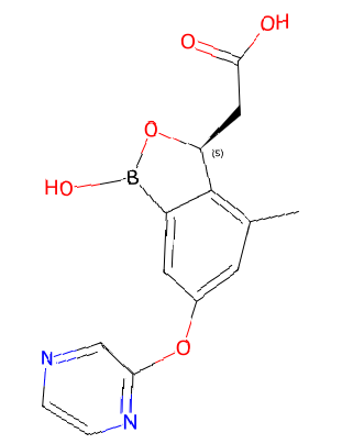 Cc1cc(Oc2cnccn2)cc2c1[C@H](CC(=O)O)OB2O